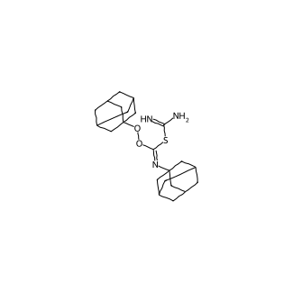 N=C(N)SC(=NC12CC3CC(CC(C3)C1)C2)OOC12CC3CC(CC(C3)C1)C2